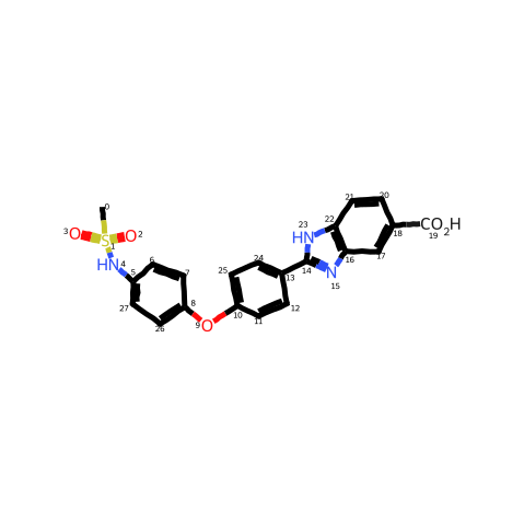 CS(=O)(=O)Nc1ccc(Oc2ccc(-c3nc4cc(C(=O)O)ccc4[nH]3)cc2)cc1